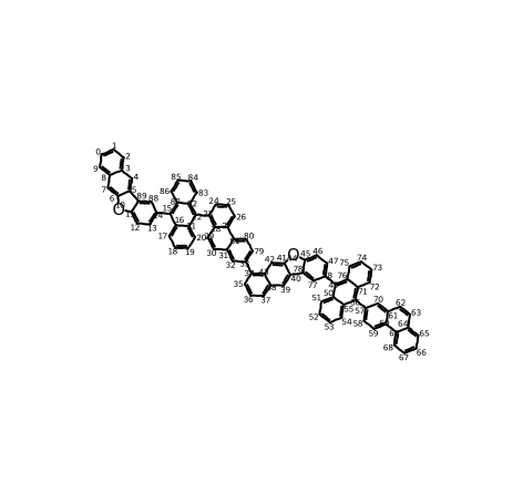 c1ccc2cc3c(cc2c1)oc1ccc(-c2c4ccccc4c(-c4cccc5c4ccc4cc(-c6cccc7cc8c(cc67)oc6ccc(-c7c9ccccc9c(-c9ccc%10c(ccc%11ccccc%11%10)c9)c9ccccc79)cc68)ccc45)c4ccccc24)cc13